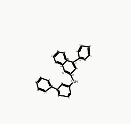 c1ccc(-c2cccc(Nc3cc(-c4ccccc4)c4ccccc4c3)c2)cc1